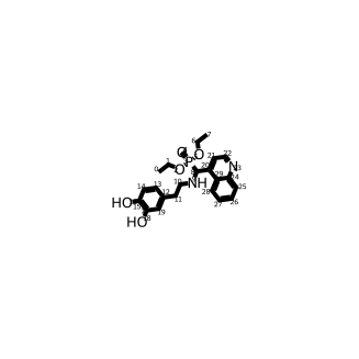 CCOP(=O)(OCC)C(NCCc1ccc(O)c(O)c1)c1ccnc2ccccc12